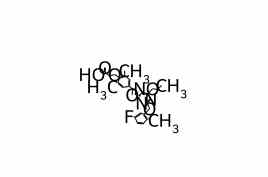 CCOc1nc(Oc2cc(F)ccc2C)nc2oc(-c3cc(C)c(OCC(=O)O)c(C)c3)nc12